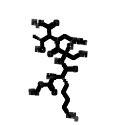 CC(=O)NCN(C(=O)[C@](Cl)(CS)NC(=O)[C@H](CCCCN)NC(=O)OC(C)(C)C)[C@H](C(N)=O)[C@@H](C)O